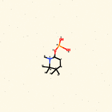 CN1C(OP(O)O)CCC(C)(C)C1(C)C